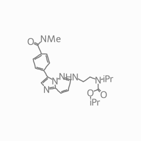 CNC(=O)c1ccc(-c2cnc3ccc(NCCN(C(=O)OC(C)C)C(C)C)nn23)cc1